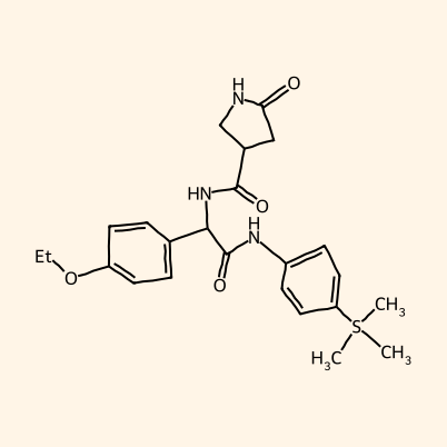 CCOc1ccc(C(NC(=O)C2CNC(=O)C2)C(=O)Nc2ccc(S(C)(C)C)cc2)cc1